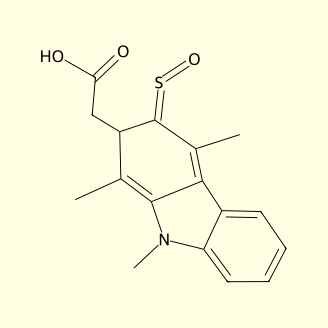 CC1=c2c(n(C)c3ccccc23)=C(C)C(CC(=O)O)C1=S=O